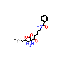 CCCCC(N)(C(=O)O)C(=O)CCCCNC(=O)c1ccccc1